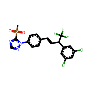 CS(=O)(=O)c1ncnn1-c1ccc(/C=C/C(c2cc(Cl)cc(Cl)c2)C(F)(F)F)cc1